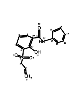 C=CCS(=O)(=O)c1cccc(C(=O)Nc2ccccc2)c1O